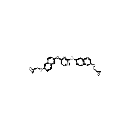 c1cc(Oc2ccc3cc(OCC4CO4)ccc3c2)nc(Oc2ccc3cc(OCC4CO4)ccc3c2)n1